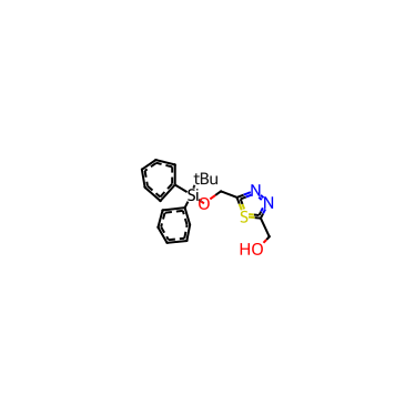 CC(C)(C)[Si](OCc1nnc(CO)s1)(c1ccccc1)c1ccccc1